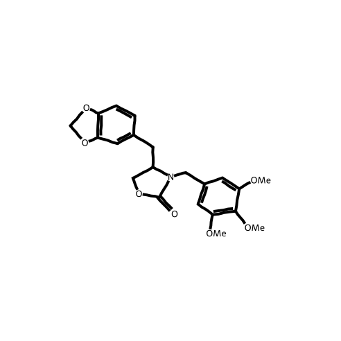 COc1cc(CN2C(=O)OCC2Cc2ccc3c(c2)OCO3)cc(OC)c1OC